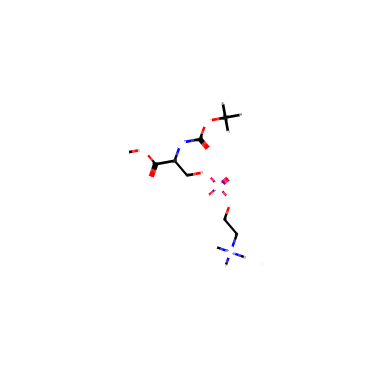 COC(=O)C(COP(=O)([O-])OCC[N+](C)(C)C)NC(=O)OC(C)(C)C